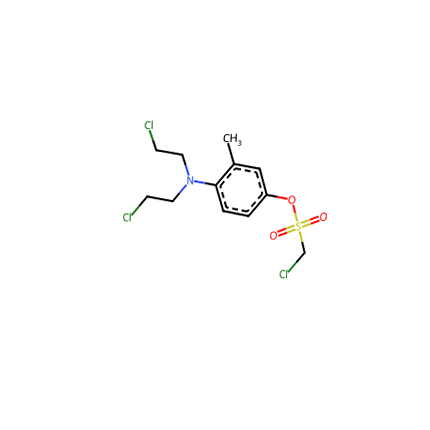 Cc1cc(OS(=O)(=O)CCl)ccc1N(CCCl)CCCl